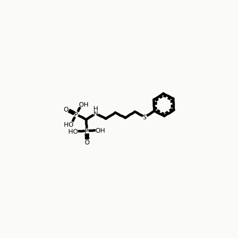 O=P(O)(O)C(NCCCCSc1ccccc1)P(=O)(O)O